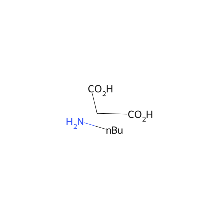 CCCCN.O=C(O)CC(=O)O